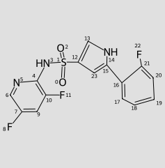 O=S(=O)(Nc1ncc(F)cc1F)c1c[nH]c(-c2ccccc2F)c1